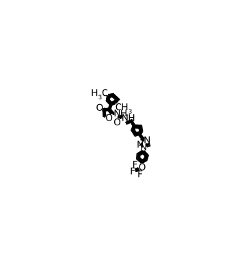 Cc1ccc(C)c(C2=C(NC(=O)NCCc3ccc(-c4ncn(-c5ccc(OC(F)(F)F)cc5)n4)cc3)OCC2=O)c1